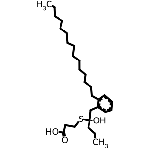 CCCCCCCCCCCCCCCc1ccccc1C[C@@](O)(CCC)SCCC(=O)O